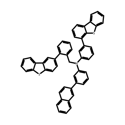 c1cc(-c2ccc3ccccc3c2)cc(N(Cc2ccccc2-c2ccc3sc4ccccc4c3c2)c2cccc(-c3cccc4c3sc3ccccc34)c2)c1